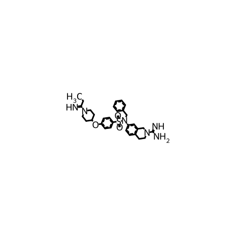 CCC(=N)N1CCC(Oc2ccc(S(=O)(=O)N(Cc3ccccc3)c3ccc4c(c3)CN(C(=N)N)CC4)cc2)CC1